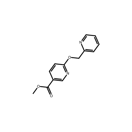 COC(=O)c1ccc(OCc2ccccn2)nc1